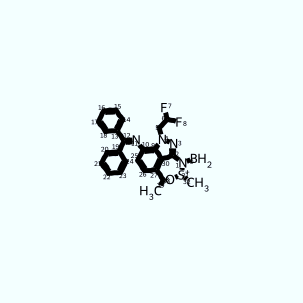 BN(c1nn(CC(F)F)c2c(N=C(c3ccccc3)c3ccccc3)ccc(CC)c12)[S+](C)[O-]